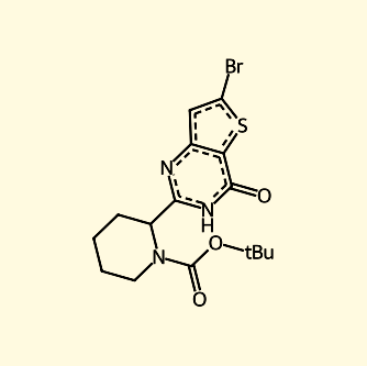 CC(C)(C)OC(=O)N1CCCCC1c1nc2cc(Br)sc2c(=O)[nH]1